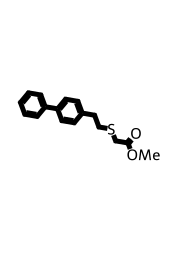 COC(=O)CSCCc1ccc(-c2ccccc2)cc1